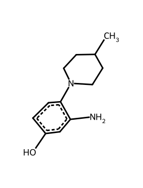 CC1CCN(c2ccc(O)cc2N)CC1